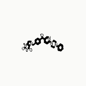 Cn1c(=O)c2c(ccn2Cc2ccc(C(=O)c3ccc(N4CCN(c5ccccc5)CC4)nc3)cc2)n(C)c1=O